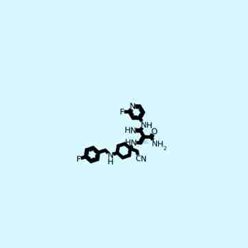 N#CCC1(N/C=C(\C(=N)Nc2ccnc(F)c2)C(N)=O)CCC(NCc2ccc(F)cc2)CC1